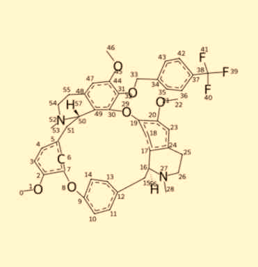 COc1ccc2cc1Oc1ccc(cc1)C[C@H]1c3cc(c(OC)cc3CCN1C)Oc1c(OCc3ccc(C(F)(F)F)cc3)c(OC)cc3c1[C@H](C2)N(C)CC3